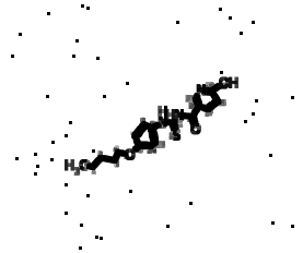 CCCCCOc1ccc(NC(=S)NC(=O)c2ccc(O)nc2)cc1